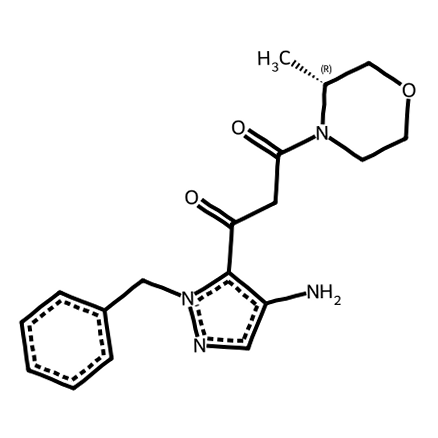 C[C@@H]1COCCN1C(=O)CC(=O)c1c(N)cnn1Cc1ccccc1